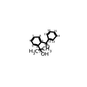 CC(C)(O)c1ccccc1C(=O)c1ccccc1